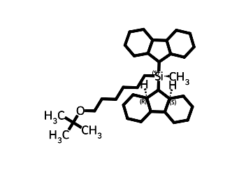 CC(C)(C)OCCCCCC[Si@@](C)(C1C2CCCCC2C2CCCCC21)C1[C@@H]2CCCCC2C2CCCC[C@@H]21